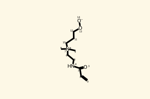 C=CC(=O)NCC[N+](C)(C)CCCO[O-]